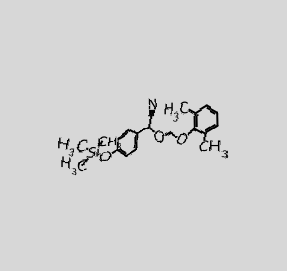 Cc1cccc(C)c1OCOC(C#N)c1ccc(O[Si](C)(C)C)cc1